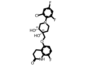 O=C1CCc2c(OC[C@]3(O)CCN(c4c(F)cc(F)cc4Cl)C[C@H]3O)ccc(F)c2N1